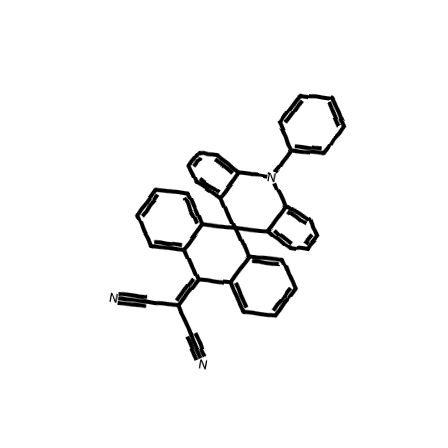 N#CC(C#N)=C1c2ccccc2C2(c3ccccc31)c1ccccc1N(c1ccccc1)c1ccccc12